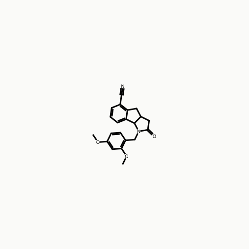 COc1ccc(CN2C(=O)CC3Cc4c(C#N)cccc4C32)c(OC)c1